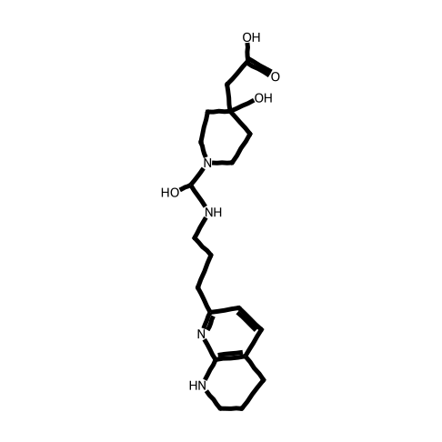 O=C(O)CC1(O)CCN(C(O)NCCCc2ccc3c(n2)NCCC3)CC1